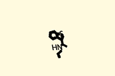 C=CCNC(C)c1csc2ccccc12